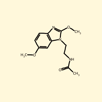 COc1ccc2nc(OC)n(CCNC(C)=O)c2c1